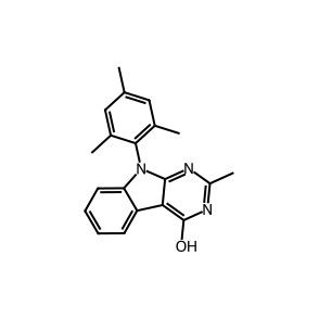 Cc1cc(C)c(-n2c3ccccc3c3c(O)nc(C)nc32)c(C)c1